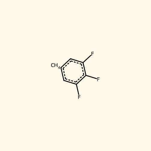 C.Fc1cccc(F)c1F